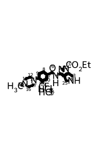 CCOC(=O)n1nc(NC(=O)c2ccc(N3CCN(C)CC3)c(C(F)(F)F)c2)c2c1CNC2.Cl.Cl